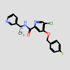 O=C(N[C@@H](c1cccnc1)C(F)(F)F)c1cc(OCc2ccc(F)cc2)c(Cl)cn1